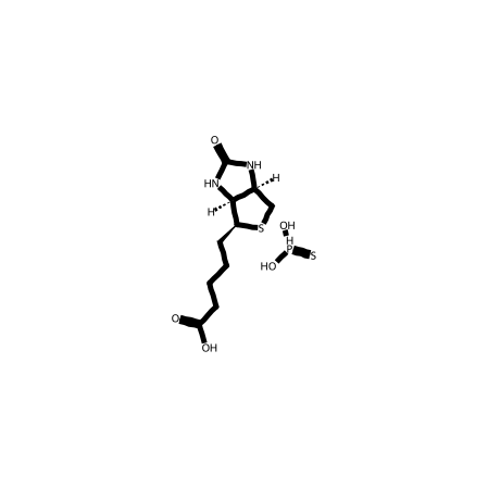 O=C(O)CCCC[C@@H]1SC[C@@H]2NC(=O)N[C@@H]21.O[PH](O)=S